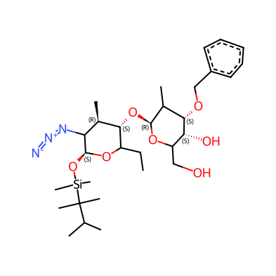 CCC1O[C@@H](O[Si](C)(C)C(C)(C)C(C)C)C(N=[N+]=[N-])[C@@H](C)[C@@H]1O[C@@H]1OC(CO)[C@@H](O)[C@@H](OCc2ccccc2)C1C